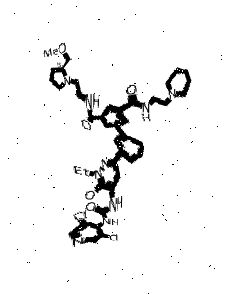 CCn1nc(-c2cccc(-c3cc(C(=O)NCCN4CCCCC4)cc(C(=O)NCCN4CCC[C@H]4COC)c3)c2)cc(NC(=O)Nc2c(Cl)cncc2Cl)c1=O